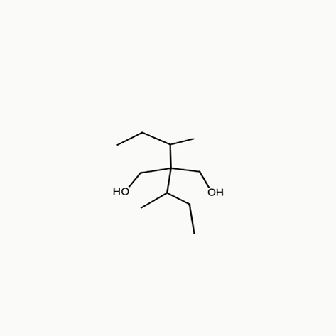 CCC(C)C(CO)(CO)C(C)CC